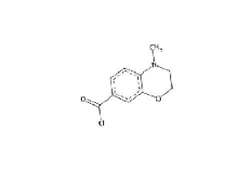 CN1CCOc2cc(C(=O)Cl)ccc21